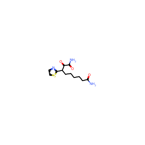 NC(=O)CCCCCC(C(=O)C(N)=O)c1nccs1